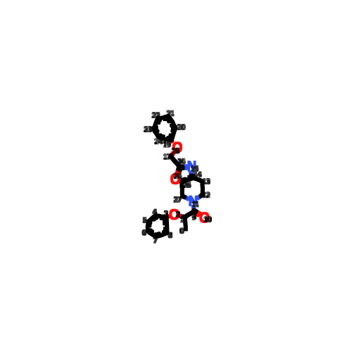 CC(Oc1ccccc1)C(=O)N1CCc2nc(COc3ccccc3)oc2C1